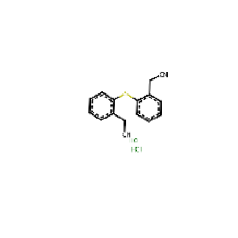 Cl.Cl.N#CCc1ccccc1Sc1ccccc1CC#N